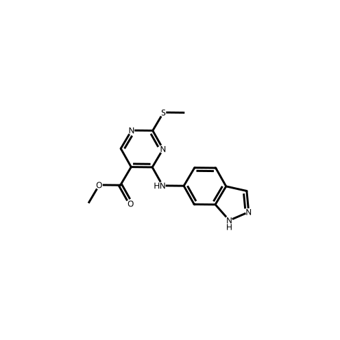 COC(=O)c1cnc(SC)nc1Nc1ccc2cn[nH]c2c1